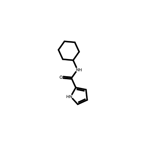 O=C(NC1CCCCC1)c1ccc[nH]1